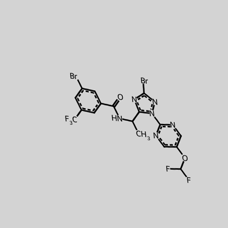 CC(NC(=O)c1cc(Br)cc(C(F)(F)F)c1)c1nc(Br)nn1-c1ncc(OC(F)F)cn1